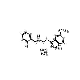 COc1ccc2[nH]nc(CCNCc3ccccc3F)c2c1.Cl.Cl